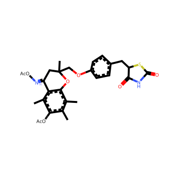 CC(=O)O/N=C1\CC(C)(COc2ccc(CC3SC(=O)NC3=O)cc2)Oc2c(C)c(C)c(OC(C)=O)c(C)c21